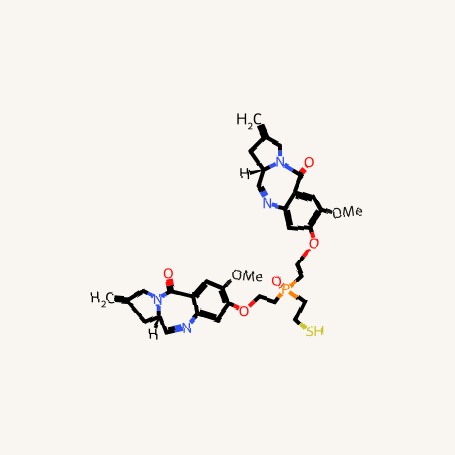 C=C1C[C@H]2C=Nc3cc(OCCP(=O)(CCS)CCOc4cc5c(cc4OC)C(=O)N4CC(=C)C[C@H]4C=N5)c(OC)cc3C(=O)N2C1